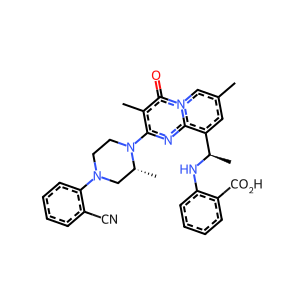 Cc1cc([C@@H](C)Nc2ccccc2C(=O)O)c2nc(N3CCN(c4ccccc4C#N)C[C@H]3C)c(C)c(=O)n2c1